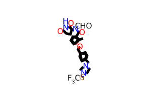 Cc1c(OCc2ccc(CN3CCN(SC(F)(F)F)CC3)cc2)cccc1C(=O)N(C=O)C1CCC(=O)NC1=O